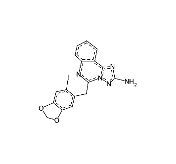 Nc1nc2c3ccccc3nc(Cc3cc4c(cc3I)OCO4)n2n1